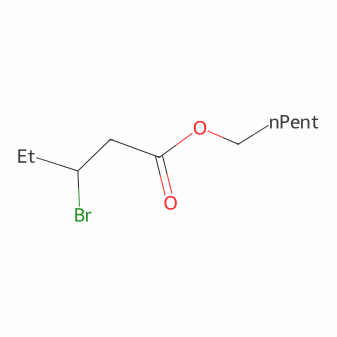 CCCCCCOC(=O)CC(Br)CC